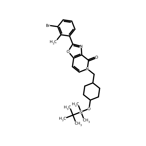 Cc1c(Br)cccc1-c1nc2c(=O)n(CC3CCC(O[Si](C)(C)C(C)(C)C)CC3)ccc2o1